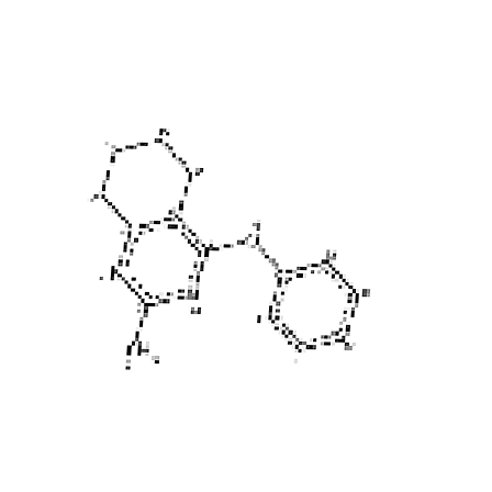 Cc1nc2c(c(Oc3ccccc3)n1)CCCC2